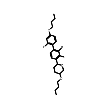 CCCCOc1ccc(-c2ccc(C3CCC(OCCCC)CO3)c(F)c2F)c(F)c1